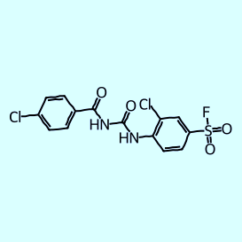 O=C(NC(=O)c1ccc(Cl)cc1)Nc1ccc(S(=O)(=O)F)cc1Cl